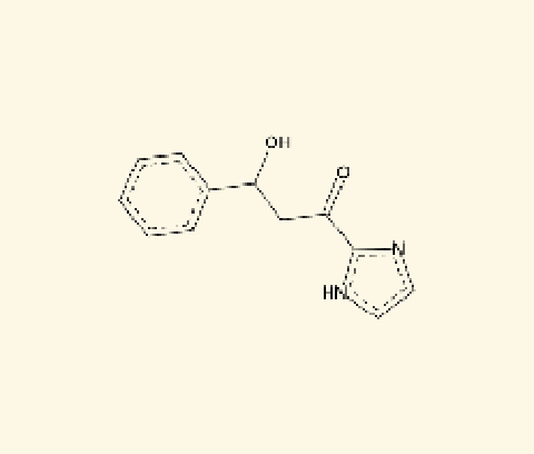 O=C(CC(O)c1ccccc1)c1ncc[nH]1